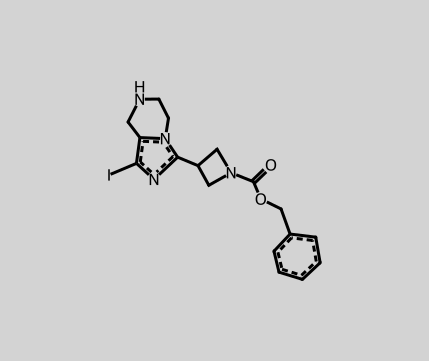 O=C(OCc1ccccc1)N1CC(c2nc(I)c3n2CCNC3)C1